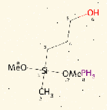 CO[Si](C)(CCCO)OC.P